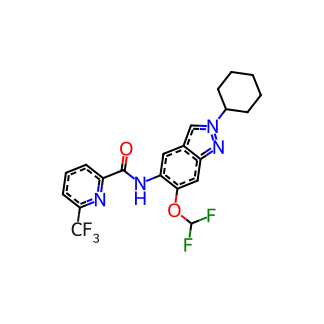 O=C(Nc1cc2cn(C3CCCCC3)nc2cc1OC(F)F)c1cccc(C(F)(F)F)n1